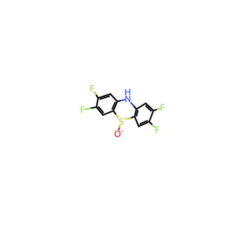 [O-][S+]1c2cc(F)c(F)cc2Nc2cc(F)c(F)cc21